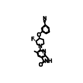 Cc1cc2c(nc1N1CC[C@H](Oc3cccc(C#N)c3)[C@@H](F)C1)CNC2=O